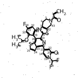 C=CC(=O)N1CCc2nc(-c3nc(-c4ccn(C(F)F)c(=O)c4)c4ccsc4c3-c3c(F)cc(F)cc3OC(C)C)sc2C1